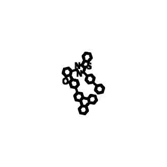 c1ccc(-c2ccc(-c3nc(-c4cccc5oc6cc(-c7ccc8c9ccccc9c9ccccc9c8c7)ccc6c45)nc4c3sc3ccccc34)cc2)cc1